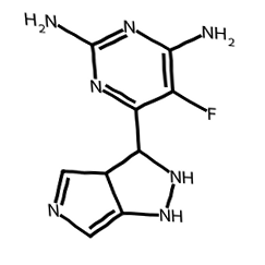 Nc1nc(N)c(F)c(C2NNC3=CN=CC32)n1